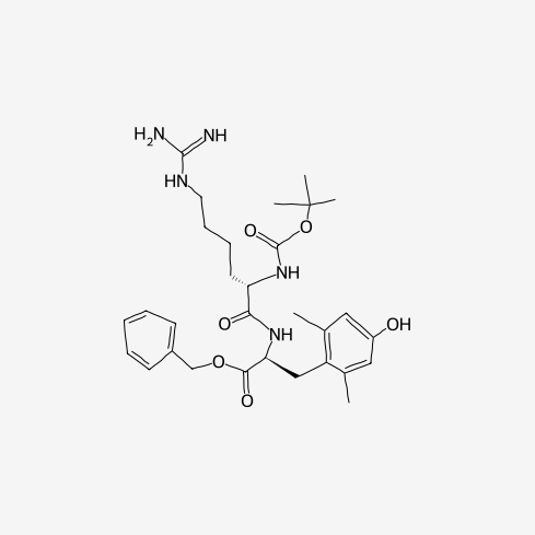 Cc1cc(O)cc(C)c1C[C@H](NC(=O)[C@H](CCCCNC(=N)N)NC(=O)OC(C)(C)C)C(=O)OCc1ccccc1